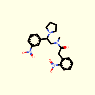 CN(CC(c1cccc([N+](=O)[O-])c1)N1CCCC1)C(=O)Cc1ccccc1[N+](=O)[O-]